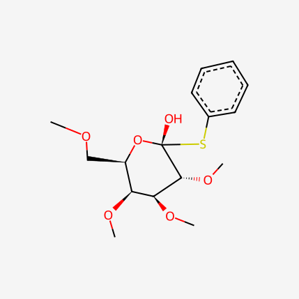 COC[C@H]1O[C@](O)(Sc2ccccc2)[C@H](OC)[C@@H](OC)[C@H]1OC